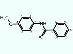 COc1ccc(NC(=O)c2c[c]ccc2)cc1